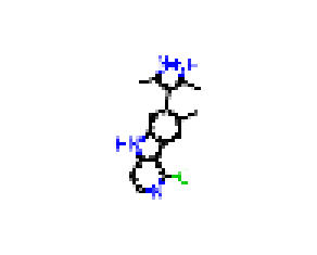 Cc1cc2c(cc1-c1c(C)n[nH]c1C)[nH]c1ccnc(Cl)c12